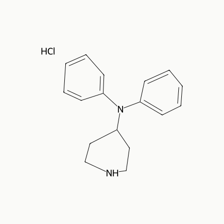 Cl.c1ccc(N(c2ccccc2)C2CCNCC2)cc1